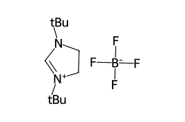 CC(C)(C)N1C=[N+](C(C)(C)C)CC1.F[B-](F)(F)F